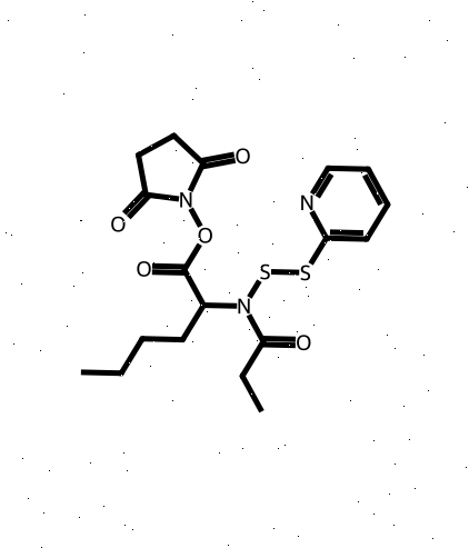 CCCCC(C(=O)ON1C(=O)CCC1=O)N(SSc1ccccn1)C(=O)CC